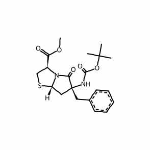 COC(=O)[C@@H]1CS[C@H]2C[C@@](Cc3ccccc3)(NC(=O)OC(C)(C)C)C(=O)N21